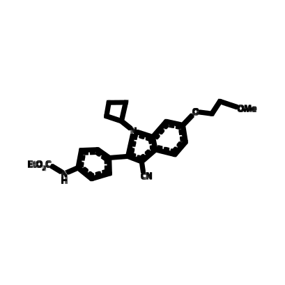 CCOC(=O)Nc1ccc(-c2c(C#N)c3ccc(OCCOC)cc3n2C2CCC2)cc1